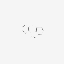 Cc1ccc(C)c(-n2nnc3ccccc32)c1